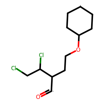 O=[C]C(CCOC1CC[CH]CC1)C(Cl)CCl